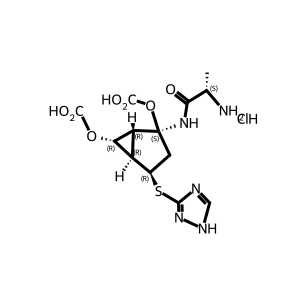 C[C@H](N)C(=O)N[C@]1(OC(=O)O)C[C@@H](Sc2nc[nH]n2)[C@H]2[C@H](OC(=O)O)[C@@H]21.Cl